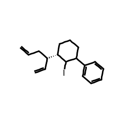 C=CCC(C=C)[C@@H]1CCCC(c2ccccc2)C1I